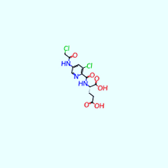 O=C(O)CC[C@H](NC(=O)c1ncc(NC(=O)CCl)cc1Cl)C(=O)O